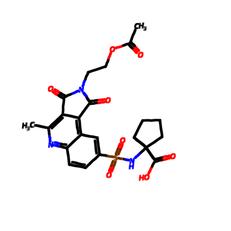 CC(=O)OCCN1C(=O)c2c(C)nc3ccc(S(=O)(=O)NC4(C(=O)O)CCCC4)cc3c2C1=O